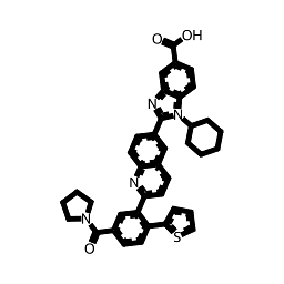 O=C(O)c1ccc2c(c1)nc(-c1ccc3nc(-c4cc(C(=O)N5CCCC5)ccc4-c4cccs4)ccc3c1)n2C1CCCCC1